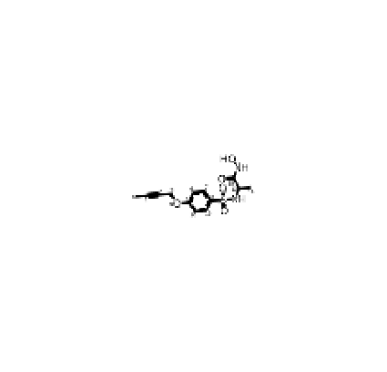 CC#CCOc1ccc(S(=O)(=O)NC(C)C(=O)NO)cc1